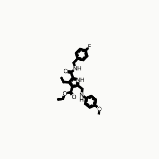 CCOC(=O)c1c(CNc2ccc(OC)cc2)[nH]c(C(=O)NCc2ccc(F)cc2)c1CC